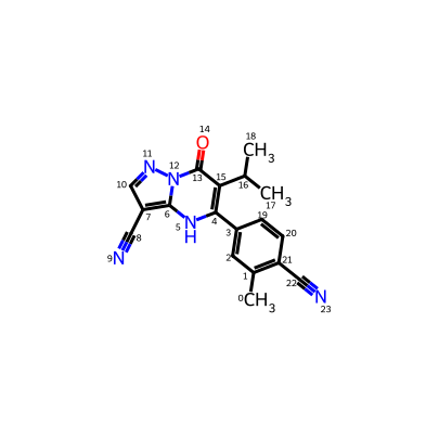 Cc1cc(-c2[nH]c3c(C#N)cnn3c(=O)c2C(C)C)ccc1C#N